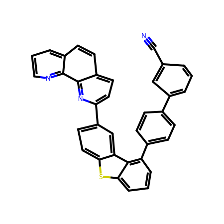 N#Cc1cccc(-c2ccc(-c3cccc4sc5ccc(-c6ccc7ccc8cccnc8c7n6)cc5c34)cc2)c1